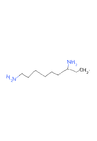 [CH2]CC(N)CCCCCCN